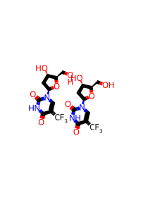 O=c1[nH]c(=O)n([C@H]2C[C@H](O)[C@@H](CO)O2)cc1C(F)(F)F.O=c1[nH]c(=O)n([C@H]2C[C@H](O)[C@@H](CO)O2)cc1C(F)(F)F